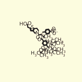 CN(C(=O)c1ccc(C(=NC(=O)OC(C)(C)C)N(C(=O)OC(C)(C)C)C(=O)OC(C)(C)C)cc1)[C@@H](Cc1ccc([N+](=O)[O-])cc1)C(=O)N1CCc2sc(CC(=O)O)cc2C1